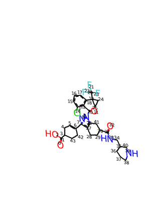 O=C(O)C1CC=C(c2nn(C(=O)c3c(Cl)cccc3C3(C(F)(F)F)CC3)c3c2CCC(C(=O)NCC2CCCNC2)C3)CC1